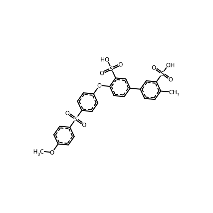 COc1ccc(S(=O)(=O)c2ccc(Oc3ccc(-c4ccc(C)c(S(=O)(=O)O)c4)cc3S(=O)(=O)O)cc2)cc1